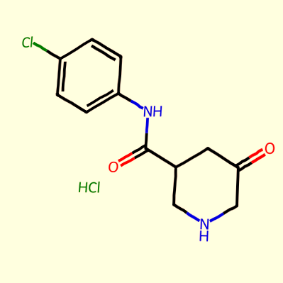 Cl.O=C1CNCC(C(=O)Nc2ccc(Cl)cc2)C1